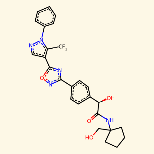 O=C(NC1(CO)CCCC1)[C@H](O)c1ccc(-c2noc(-c3cnn(-c4ccccc4)c3C(F)(F)F)n2)cc1